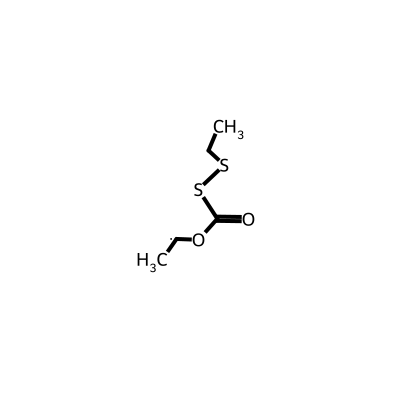 C[CH]OC(=O)SSCC